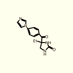 CCC1(C(=O)c2ccc(-n3ccnc3)cc2)CNC(=O)N1